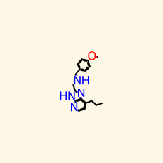 CCCc1ccnc2[nH]c(CNCc3ccc(OC)cc3)nc12